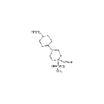 CCCCCC1CCC(C2CCC(CCCCC)(S(C)(=O)=O)CC2)CC1